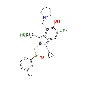 CCOC(=O)c1c(C[S+]([O-])c2cccc(C(F)(F)F)c2)n(C2CC2)c2cc(Br)c(O)c(CN3CCCC3)c12.Cl